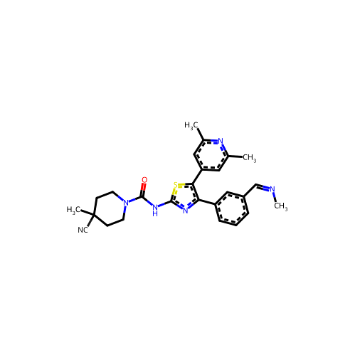 C/N=C\c1cccc(-c2nc(NC(=O)N3CCC(C)(C#N)CC3)sc2-c2cc(C)nc(C)c2)c1